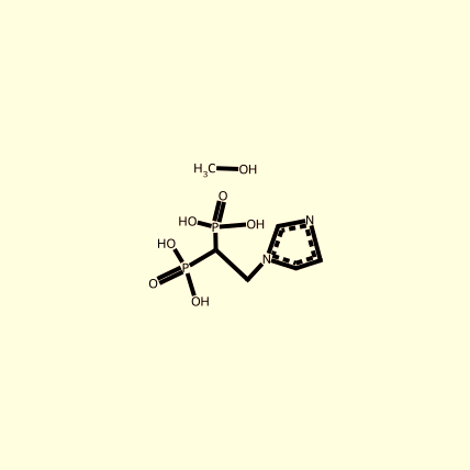 CO.O=P(O)(O)C(Cn1ccnc1)P(=O)(O)O